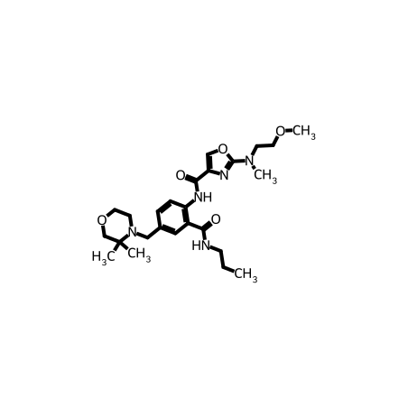 CCCNC(=O)c1cc(CN2CCOCC2(C)C)ccc1NC(=O)c1coc(N(C)CCOC)n1